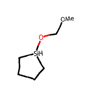 COCO[SiH]1CCCC1